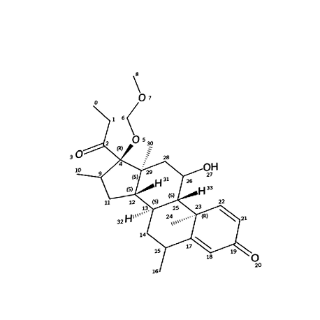 CCC(=O)[C@@]1(OCOC)C(C)C[C@H]2[C@@H]3CC(C)C4=CC(=O)C=C[C@]4(C)[C@H]3C(O)C[C@@]21C